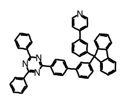 c1ccc(-c2nc(-c3ccccc3)nc(-c3ccc(-c4cccc(C5(c6cccc(-c7ccncc7)c6)c6ccccc6-c6ccccc65)c4)cc3)n2)cc1